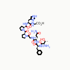 C[C@@H](O)[C@H](N)C(=O)N[C@@H](Cc1ccccc1)C(=O)N[C@@H](CCC(N)=O)C(=O)NCC(=O)N1CCC[C@H]1C(=O)N1CCC[C@H]1C(=O)N[C@@H](Cc1c[nH]cn1)C(=O)NCC(=O)O